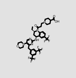 CC[C@@H]1C[C@H](Nc2ncc(N3CCOCC3)c(Cc3cc(C(F)(F)F)cc(C(F)(F)F)c3)n2)c2cc(C(F)(F)F)ccc2N1C(=O)CCN1CCC(C(=O)O)CC1